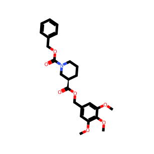 COc1cc(COC(=O)[C@@H]2CCCN(C(=O)OCc3ccccc3)C2)cc(OC)c1OC